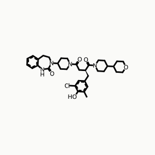 Cc1cc(C[C@@H](CC(=O)N2CCC(N3CCc4ccccc4NC3=O)CC2)C(=O)N2CCC(C3CCOCC3)CC2)cc(Cl)c1O